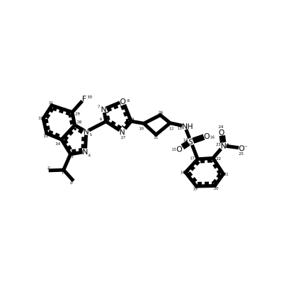 CC(C)c1nn(-c2noc(C3CC(NS(=O)(=O)c4ccccc4[N+](=O)[O-])C3)n2)c2c(F)cccc12